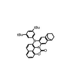 CC(C)(C)c1cc(B2c3cc4c(cc3N3C(=O)Oc5cccc6ccc2c3c56)C2CCC4CC2)cc(C(C)(C)C)c1